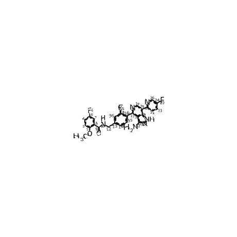 COc1ccc(F)cc1C(=O)NCc1ccc(-c2ncc(-c3ccc(F)cn3)c3[nH]nc(N)c23)c(F)c1